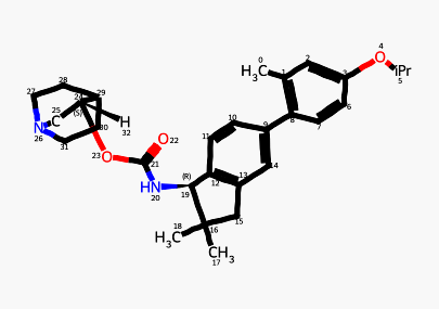 Cc1cc(OC(C)C)ccc1-c1ccc2c(c1)CC(C)(C)[C@H]2NC(=O)O[C@@H]1CN2CCC1CC2